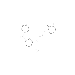 Cc1cccn(CCCNc2nc(Nc3cccc(F)c3)ncc2C2CC2)c1=O